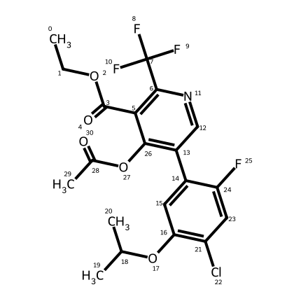 CCOC(=O)c1c(C(F)(F)F)ncc(-c2cc(OC(C)C)c(Cl)cc2F)c1OC(C)=O